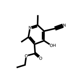 CCOC(=O)c1c(C)nc(C)c(C#N)c1O